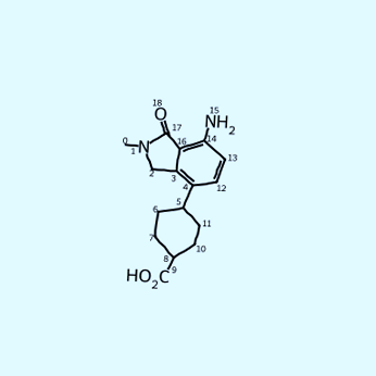 CN1Cc2c(C3CCC(C(=O)O)CC3)ccc(N)c2C1=O